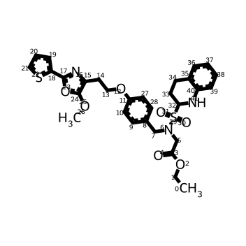 CCOC(=O)CN(Cc1ccc(OCCc2nc(-c3cccs3)oc2OC)cc1)S(=O)(=O)C1CCc2ccccc2N1